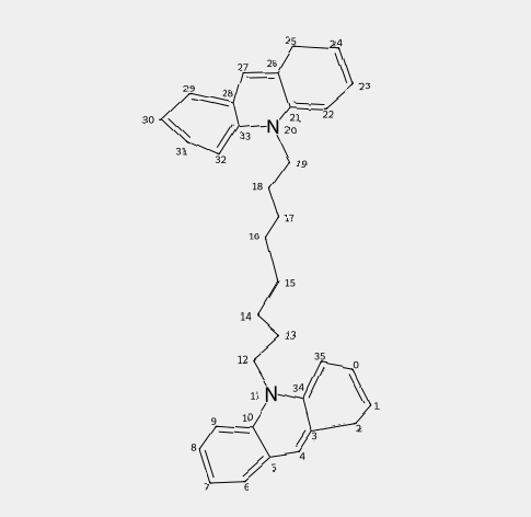 C1=CCC2=Cc3ccccc3N(CCCCCCCCN3C4=CC=CCC4=Cc4ccccc43)C2=C1